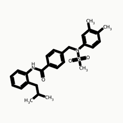 Cc1ccc(N(Cc2ccc(C(=O)Nc3ccccc3CC(C)C)cc2)S(C)(=O)=O)cc1C